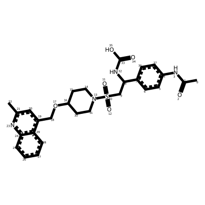 CC(=O)Nc1ccc(C(CS(=O)(=O)N2CCC(OCc3cc(C)nc4ccccc34)CC2)NC(=O)O)cc1